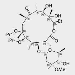 CC[C@H]1OC(=O)[C@H](C)[C@@H](O[C@H]2C[C@@](C)(OC)[C@@H](O)[C@H](C)O2)[C@H](C)[C@@H](OC(C)C)[C@](C)(OC(C)C)C[C@@H](C)C(=O)[C@H](C)[C@@H](O)[C@]1(C)O